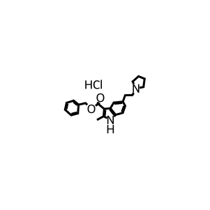 Cc1[nH]c2ccc(CCN3CCCC3)cc2c1C(=O)OCc1ccccc1.Cl